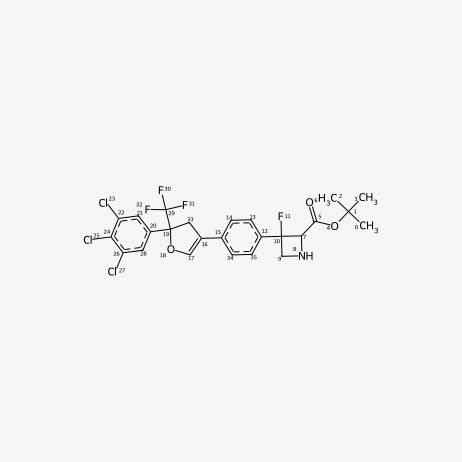 CC(C)(C)OC(=O)C1NCC1(F)c1ccc(C2=COC(c3cc(Cl)c(Cl)c(Cl)c3)(C(F)(F)F)C2)cc1